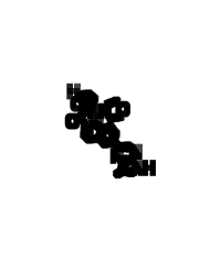 Cc1c[nH]c2ncc(-c3cc4c(c([C@@H]5COCCN5)c3)CN(C(=O)N3C[C@H]5CC[C@@H]3CO5)CC4)nc12